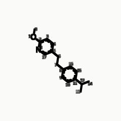 COc1ccc(CCc2ccc(C(C)C)cc2)cn1